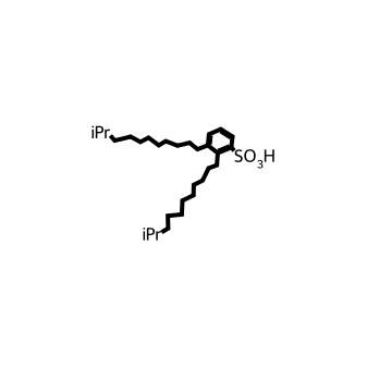 CC(C)CCCCCCCCCc1cccc(S(=O)(=O)O)c1CCCCCCCCCC(C)C